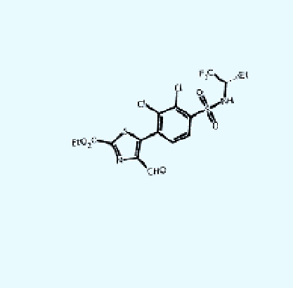 CCOC(=O)c1nc(C=O)c(-c2ccc(S(=O)(=O)N[C@@H](CC)C(F)(F)F)c(Cl)c2Cl)s1